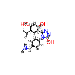 CC(C)c1cc(-c2nnc(O)n2-c2ccc(CN(C)C)cc2)c(O)cc1O